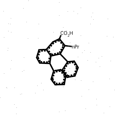 CCCc1c(C(=O)O)cc2cccc(-c3ccccc3)c2c1-c1ccccc1